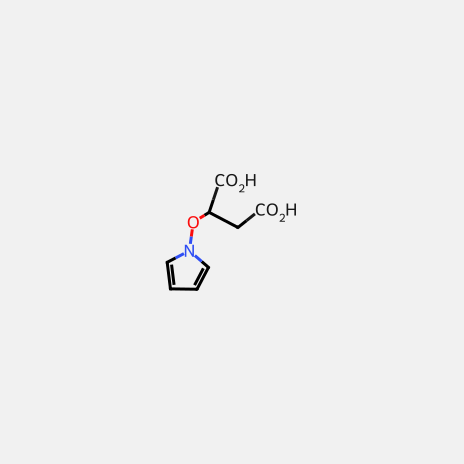 O=C(O)CC(On1cccc1)C(=O)O